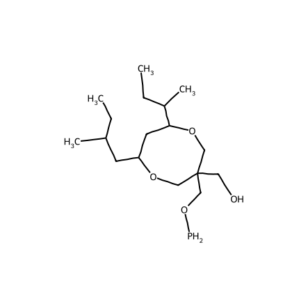 CCC(C)CC1CC(C(C)CC)OCC(CO)(COP)CO1